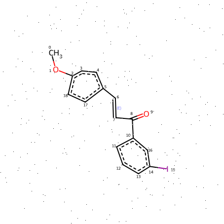 COc1ccc(/C=C/C(=O)c2cccc(I)c2)cc1